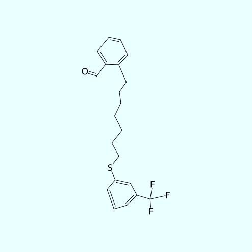 O=Cc1ccccc1CCCCCCCSc1cccc(C(F)(F)F)c1